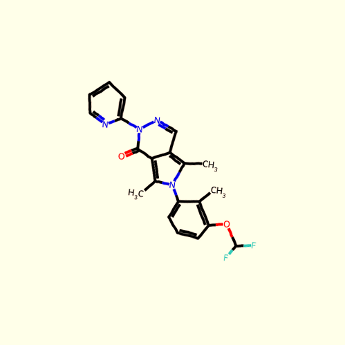 Cc1c(OC(F)F)cccc1-n1c(C)c2cnn(-c3ccccn3)c(=O)c2c1C